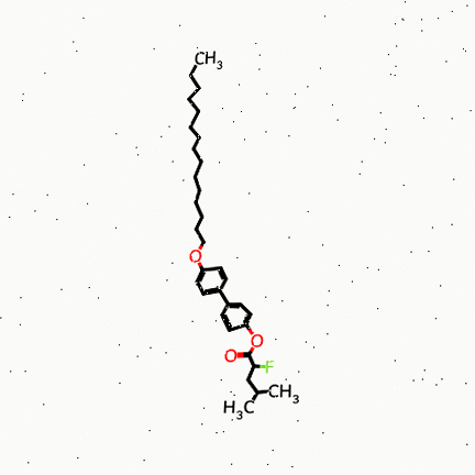 CCCCCCCCCCCCCCCOc1ccc(-c2ccc(OC(=O)C(F)CC(C)C)cc2)cc1